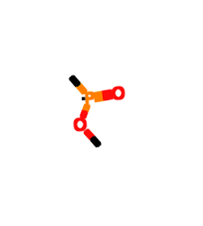 CO[P](C)=O